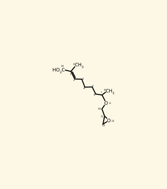 CC(=CCCCCC(C)OCC1CO1)C(=O)O